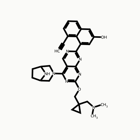 C#Cc1cccc2cc(O)cc(-c3ncc4c(N5CC6CCC(C5)N6)nc(OCC5(CN(C)C)CC5)nc4n3)c12